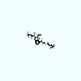 O=C(CC(F)(F)F)N[C@H]1Cc2cccc(C(=O)OCOC(=O)CCC(F)(F)F)c2OB1O